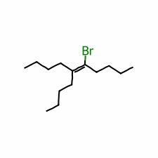 CCCCC(Br)=C(CCCC)CCCC